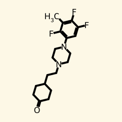 Cc1c(F)c(F)cc(N2CCN(CCC3CCC(=O)CC3)CC2)c1F